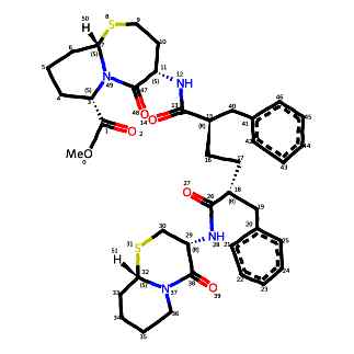 COC(=O)[C@@H]1CCC[C@@H]2SCC[C@H](NC(=O)[C@H](CC[C@H](Cc3ccccc3)C(=O)N[C@H]3CS[C@H]4CCCCN4C3=O)Cc3ccccc3)C(=O)N21